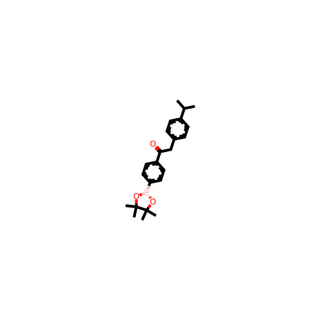 CC(C)c1ccc(CC(=O)c2ccc(B3OC(C)(C)C(C)(C)O3)cc2)cc1